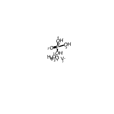 O.O.O=P(O)(O)O.[V]